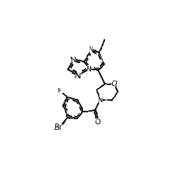 Cc1cc(C2CN(C(=O)c3cc(F)cc(Br)c3)CCO2)n2ncnc2n1